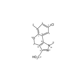 Cc1cc(Cl)cc2c1OCc1c(C(=O)O)nn(C)c1-2